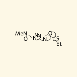 CCc1cc2c(s1)CCOC21CCN(Cc2cn(CCC(=O)NC)nn2)CC1